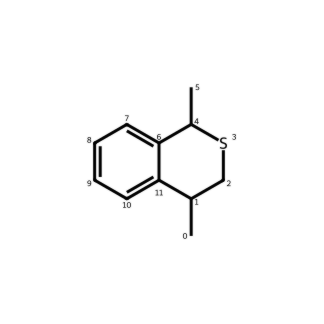 CC1CSC(C)c2ccccc21